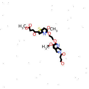 COC(=O)CCC(=O)c1cc2nc(OCCCOc3nc4c(cc3OC)CN(C(=O)CCC=O)C4)c(OC)cc2s1